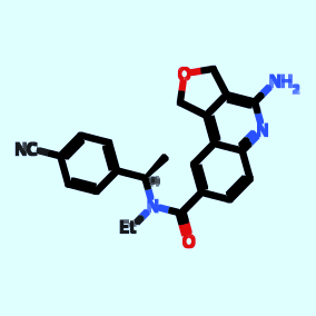 CCN(C(=O)c1ccc2nc(N)c3c(c2c1)COC3)[C@H](C)c1ccc(C#N)cc1